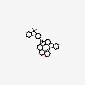 CC1(C)c2ccccc2-c2cc(-n3c4ccc5c6c4c4c7c(cccc7ccc43)C6(c3ccccc3)c3ccccc3-5)ccc21